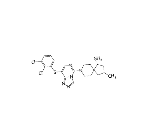 CC1C[C@@H](N)C2(CCN(c3ncc(Sc4cccc(Cl)c4Cl)c4nncn34)CC2)C1